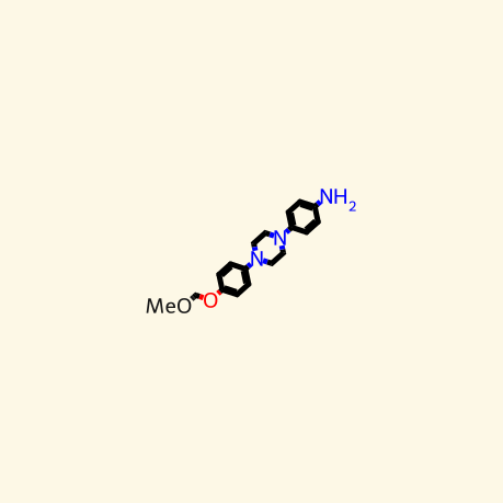 COCOc1ccc(N2CCN(c3ccc(N)cc3)CC2)cc1